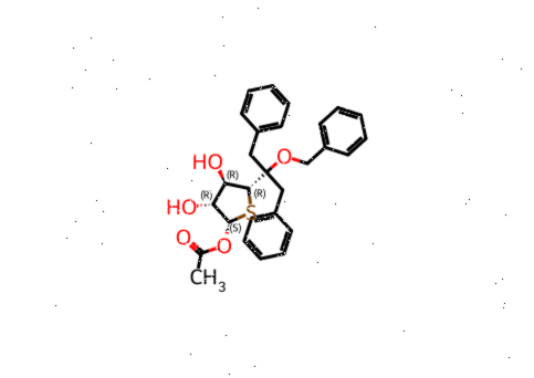 CC(=O)O[C@H]1S[C@@H](C(Cc2ccccc2)(Cc2ccccc2)OCc2ccccc2)[C@H](O)[C@H]1O